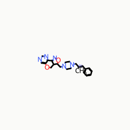 C/C(=C\c1ccccc1)CN1CCN(CC2ON=C3c4ncncc4OCC32)CC1